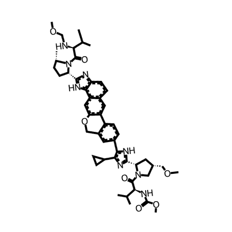 COCN[C@H](C(=O)N1[C@@H](C)CC[C@H]1c1nc2ccc3cc4c(cc3c2[nH]1)OCc1cc(-c2[nH]c([C@@H]3C[C@H](COC)CN3C(=O)[C@@H](NC(=O)OC)C(C)C)nc2C2CC2)ccc1-4)C(C)C